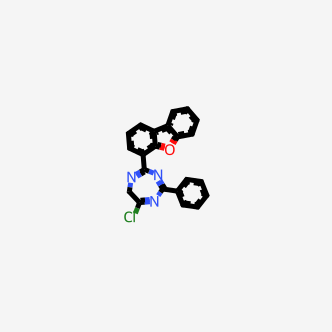 ClC1=NC(c2ccccc2)=NC(c2cccc3c2oc2ccccc23)=NC1